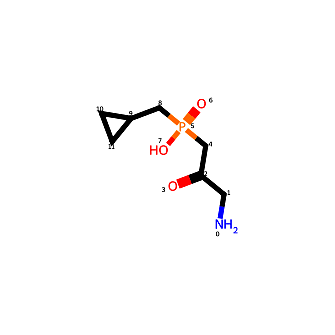 NCC(=O)CP(=O)(O)CC1CC1